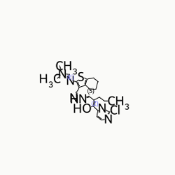 CCC/C(C(=N)[C@H]1CCCc2sc(/N=C/N(C)C)c(C#N)c21)=C(/O)c1ccnc(Cl)n1